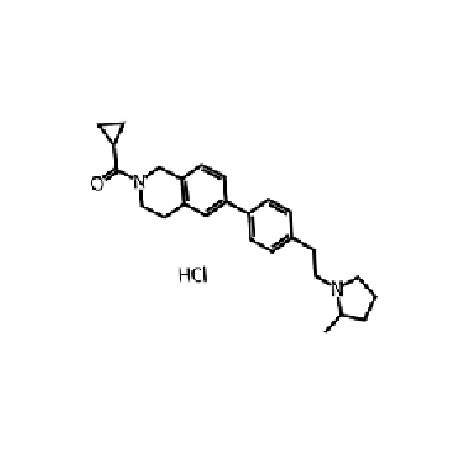 CC1CCCN1CCc1ccc(-c2ccc3c(c2)CCN(C(=O)C2CC2)C3)cc1.Cl